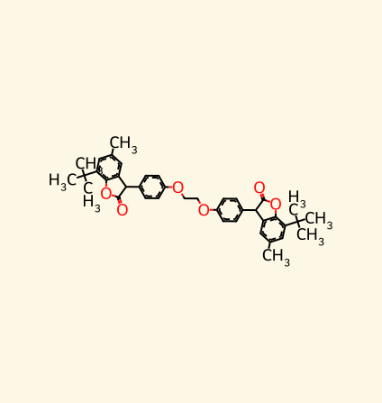 Cc1cc2c(c(C(C)(C)C)c1)OC(=O)C2c1ccc(OCCOc2ccc(C3C(=O)Oc4c3cc(C)cc4C(C)(C)C)cc2)cc1